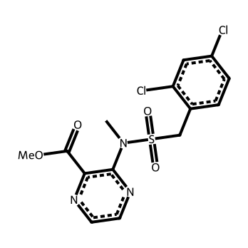 COC(=O)c1nccnc1N(C)S(=O)(=O)Cc1ccc(Cl)cc1Cl